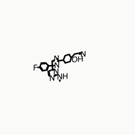 CNc1nccc(C2(c3ccc(F)cc3)C=NC(C3CCC(O)(CC#N)CC3)=N2)n1